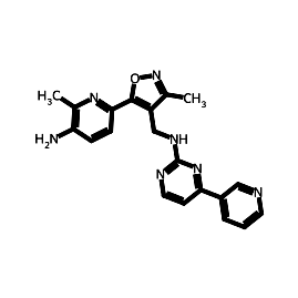 Cc1nc(-c2onc(C)c2CNc2nccc(-c3cccnc3)n2)ccc1N